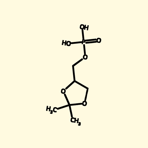 CC1(C)OCC(COP(=O)(O)O)O1